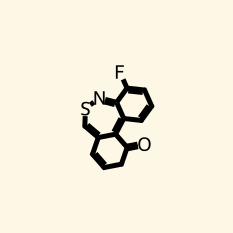 O=C1CC=CC2=CSN=c3c(F)cccc3=C12